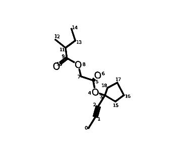 CC#CC1(OC(=O)COC(=O)C(C)CC)CCCC1